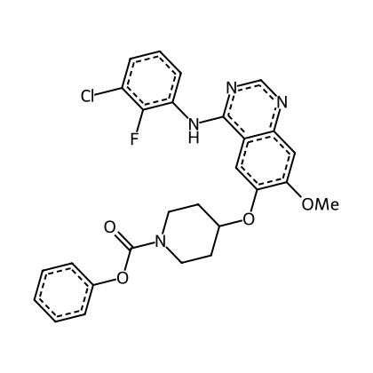 COc1cc2ncnc(Nc3cccc(Cl)c3F)c2cc1OC1CCN(C(=O)Oc2ccccc2)CC1